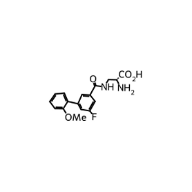 COc1ccccc1-c1cc(F)cc(C(=O)NC[C@@H](N)C(=O)O)c1